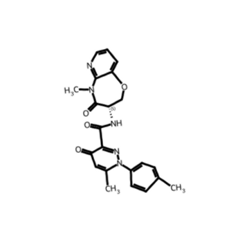 Cc1ccc(-n2nc(C(=O)N[C@H]3COc4cccnc4N(C)C3=O)c(=O)cc2C)cc1